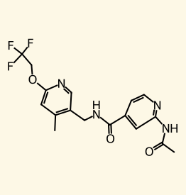 CC(=O)Nc1cc(C(=O)NCc2cnc(OCC(F)(F)F)cc2C)ccn1